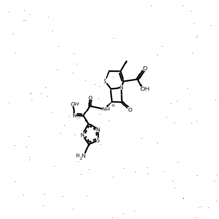 CC1=C(C(=O)O)N2C(=O)[C@@H](NC(=O)/C(=N\O)c3nsc(N)n3)C2SC1